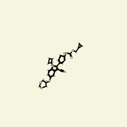 N#Cc1c(-c2ccc(NC(=O)OCC3CC3)cc2)n(C2CCC2)c2ccc(OC3COCOC3)cc12